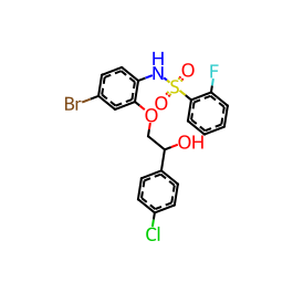 O=S(=O)(Nc1ccc(Br)cc1OCC(O)c1ccc(Cl)cc1)c1ccccc1F